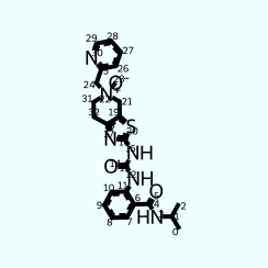 CC(C)NC(=O)c1ccccc1NC(=O)Nc1nc2c(s1)C[N+]([O-])(Cc1ccccn1)CC2